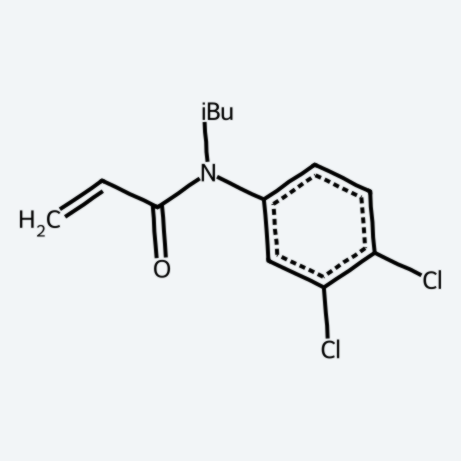 C=CC(=O)N(c1ccc(Cl)c(Cl)c1)C(C)CC